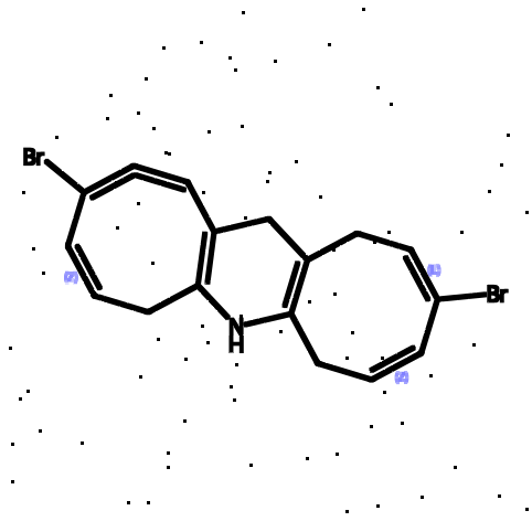 BrC1=C=CC2=C(C/C=C\1)NC1=C(C/C=C(Br)\C=C/C1)C2